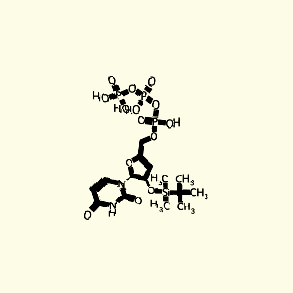 CC(C)(C)[Si](C)(C)O[C@@H]1C=C(COP(=O)(O)OP(=O)(O)OP(=O)(O)O)O[C@H]1n1ccc(=O)[nH]c1=O